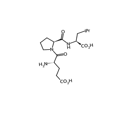 CC(C)C[C@H](NC(=O)[C@@H]1CCCN1C(=O)[C@@H](N)CCC(=O)O)C(=O)O